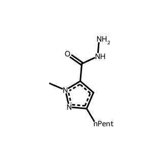 CCCCCc1cc(C(=O)NN)n(C)n1